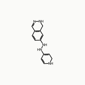 C1=CC(NNc2ccc3c(c2)CNN=C3)=CCN1